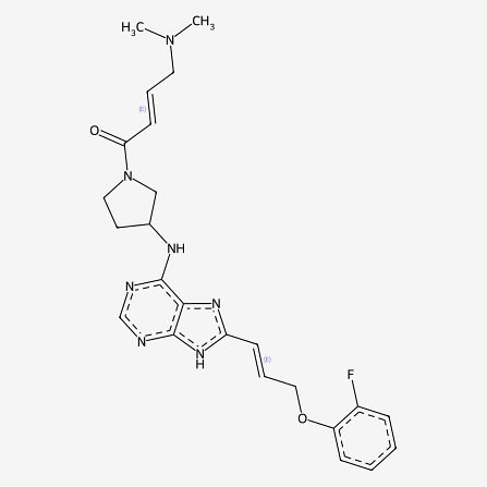 CN(C)C/C=C/C(=O)N1CCC(Nc2ncnc3[nH]c(/C=C/COc4ccccc4F)nc23)C1